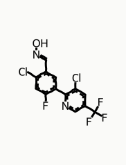 O/N=C/c1cc(-c2ncc(C(F)(F)F)cc2Cl)c(F)cc1Cl